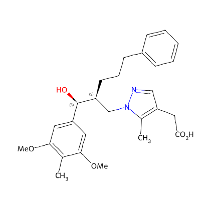 COc1cc([C@@H](O)[C@@H](CCCc2ccccc2)Cn2ncc(CC(=O)O)c2C)cc(OC)c1C